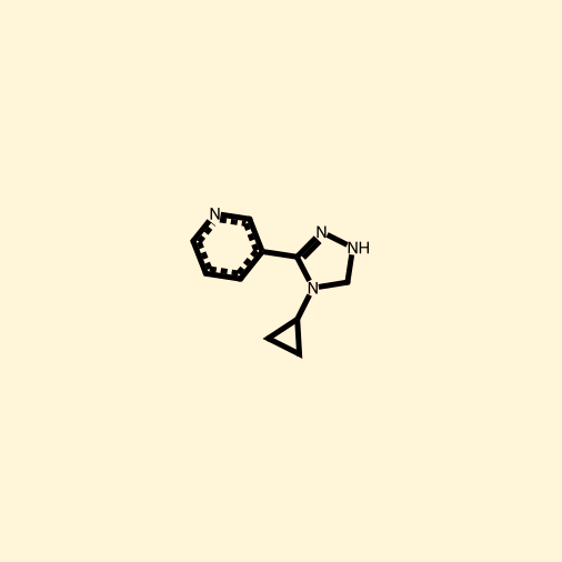 c1cncc(C2=NNCN2C2CC2)c1